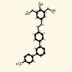 Cc1ccc(-c2cccc(-c3ccc(CCc4cc(CO)c(O)c(CO)c4)cc3)c2)cc1